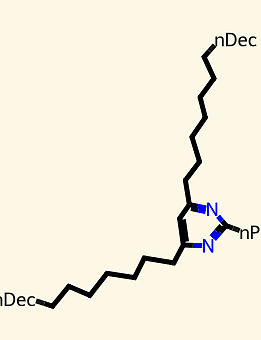 [CH2]CCc1nc(CCCCCCCCCCCCCCCCC)cc(CCCCCCCCCCCCCCCCC)n1